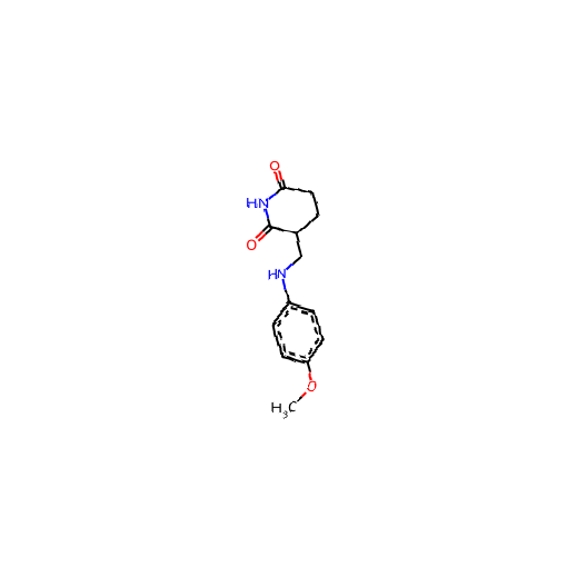 COc1ccc(NCC2CCC(=O)NC2=O)cc1